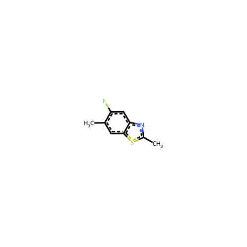 Cc1nc2cc(F)c(C)cc2s1